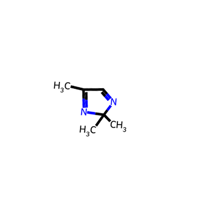 CC1=NC(C)(C)N=C1